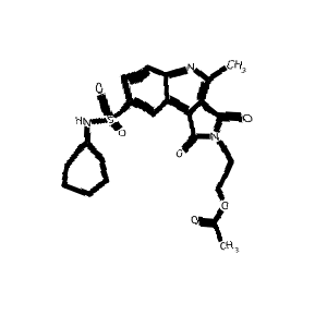 CC(=O)OCCN1C(=O)c2c(C)nc3ccc(S(=O)(=O)NC4CCCCC4)cc3c2C1=O